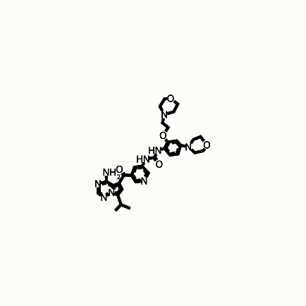 CC(C)c1cc(C(=O)c2cncc(NC(=O)Nc3ccc(N4CCOCC4)cc3OCCN3CCOCC3)c2)c2c(N)ncnn12